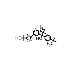 CN1CC(C)([C@](O)(c2ccc(C(C)(C)C(F)(F)F)cc2)c2cncc(-c3noc(C(C)(C)O)n3)c2)C1